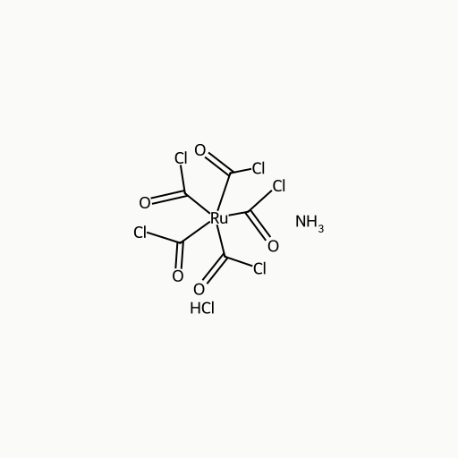 Cl.N.O=[C](Cl)[Ru]([C](=O)Cl)([C](=O)Cl)([C](=O)Cl)[C](=O)Cl